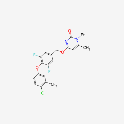 CCn1c(C)cc(OCc2cc(F)c(Oc3ccc(Cl)c(C(F)(F)F)c3)c(F)c2)nc1=O